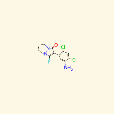 Nc1cc(-c2c(F)n3n(c2=O)CCCC3)c(Cl)cc1Cl